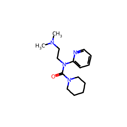 CN(C)CCN(C(=O)N1CCCCC1)c1ccccn1